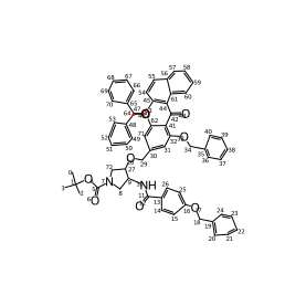 CC(C)(C)OC(=O)N1CC(NC(=O)c2ccc(OCc3ccccc3)cc2)C(OCc2cc(OCc3ccccc3)c(C(=O)c3c(OCc4ccccc4)ccc4ccccc34)c(OCc3ccccc3)c2)C1